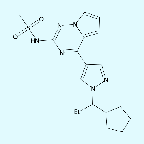 CCC(C1CCCC1)n1cc(-c2nc(NS(C)(=O)=O)nn3cccc23)cn1